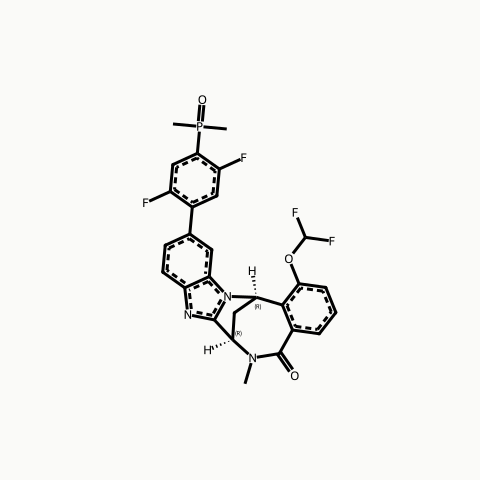 CN1C(=O)c2cccc(OC(F)F)c2[C@H]2C[C@@H]1c1nc3ccc(-c4cc(F)c(P(C)(C)=O)cc4F)cc3n12